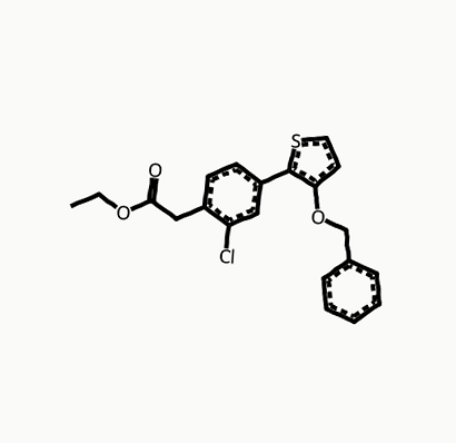 CCOC(=O)Cc1ccc(-c2sccc2OCc2ccccc2)cc1Cl